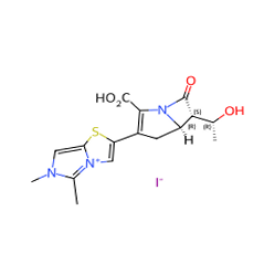 Cc1n(C)cc2sc(C3=C(C(=O)O)N4C(=O)[C@H]([C@@H](C)O)[C@H]4C3)c[n+]12.[I-]